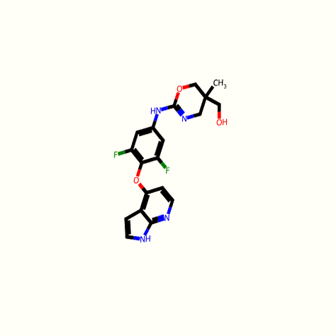 CC1(CO)CN=C(Nc2cc(F)c(Oc3ccnc4[nH]ccc34)c(F)c2)OC1